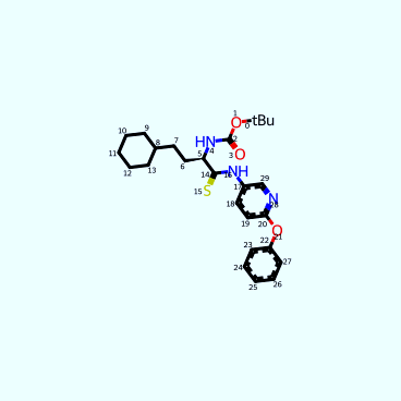 CC(C)(C)OC(=O)N[C@H](CCC1CCCCC1)C(=S)Nc1ccc(Oc2ccccc2)nc1